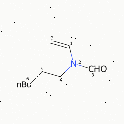 C=CN(C=O)CCCCCC